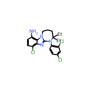 CCC1(CC)CCCn2c(nc3c(Cl)ccc(N)c32)N1c1ccc(Cl)cc1Cl